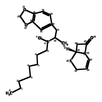 CCCCCCCC[S+]([O-])C(C)Cc1ccc2c(c1)OCO2.O=C1C[C@H]2SCC=CN12